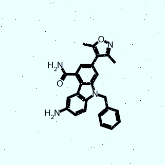 Cc1noc(C)c1-c1cc(C(N)=O)c2c3cc(N)ccc3n(Cc3ccccc3)c2c1